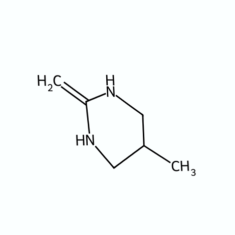 C=C1NCC(C)CN1